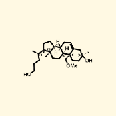 COC[C@]12CC[C@](C)(O)CC1=CC[C@@H]1[C@@H]2CC[C@]2(C)[C@@H]([C@H](C)CCCO)CC[C@@H]12